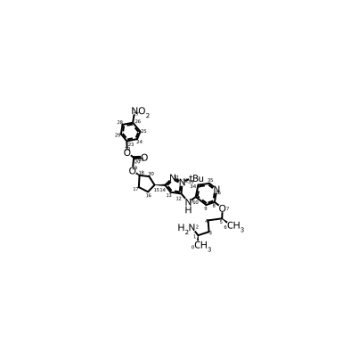 C[C@@H](N)CC[C@H](C)Oc1cc(Nc2cc([C@H]3CC[C@@H](OC(=O)Oc4ccc([N+](=O)[O-])cc4)C3)nn2C(C)(C)C)ccn1